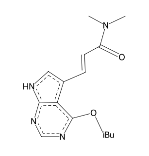 CCC(C)Oc1ncnc2[nH]cc(C=CC(=O)N(C)C)c12